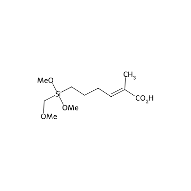 COC[Si](CCCC=C(C)C(=O)O)(OC)OC